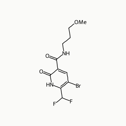 COCCCNC(=O)c1cc(Br)c(C(F)F)[nH]c1=O